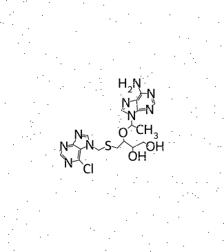 CC(OC(CSCn1cnc2ncnc(Cl)c21)C(O)CO)n1cnc2c(N)ncnc21